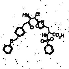 CCC(C(=N)C(=O)Cc1ccc(COc2ccccc2)cc1)c1nc(CC(NS(=O)(=O)c2ccccc2)C(=O)O)co1